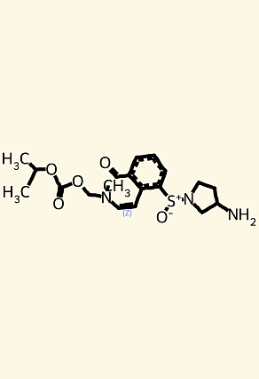 CC(C)OC(=O)OCN(C)/C=C\c1c(C=O)cccc1[S+]([O-])N1CCC(N)C1